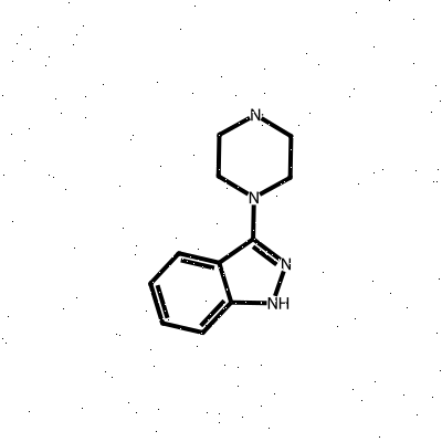 c1ccc2c(N3CC[N]CC3)n[nH]c2c1